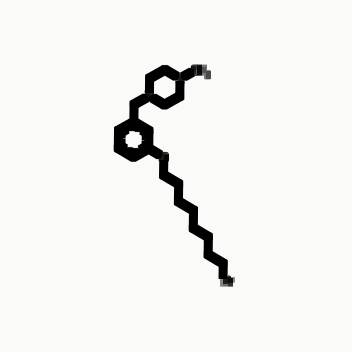 CC(C)CCCCCCCCOc1cccc(CN2CCN(C)CC2)c1